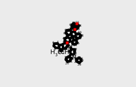 CC1(C)C2=C(C=CCC2)C2C=CC(N(C3=CC4c5ccccc5N(c5ccccc5)C4C=C3)c3cccc(C4(C5C=CC=CC5)c5ccccc5C5(c6ccccc6)c6ccccc6-c6cccc4c65)c3)=CC21